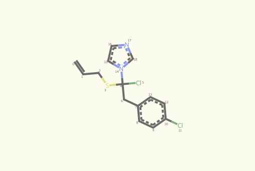 C=CCSC(Cl)(Cc1ccc(Cl)cc1)n1ccnc1